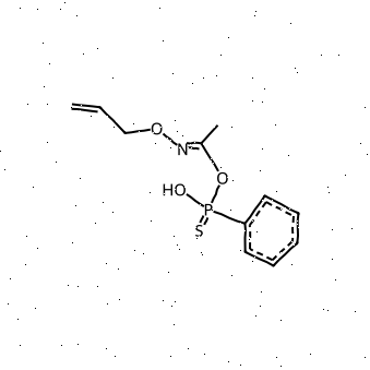 C=CCON=C(C)OP(O)(=S)c1ccccc1